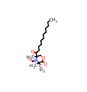 CCCCCCCCCCCC(=O)C1(C)COC(=O)C(C)(C)N1C=O